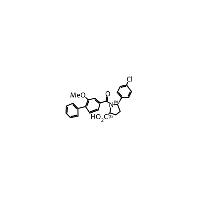 COc1cc(C(=O)N2[C@@H](c3ccc(Cl)cc3)CC[C@H]2C(=O)O)ccc1-c1ccccc1